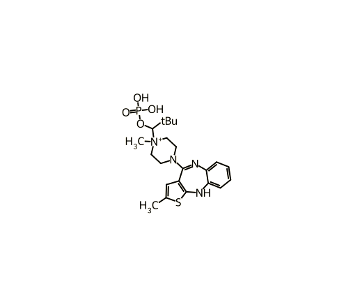 Cc1cc2c(s1)Nc1ccccc1N=C2N1CC[N+](C)(C(OP(=O)(O)O)C(C)(C)C)CC1